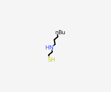 CCCCCCCNCCS